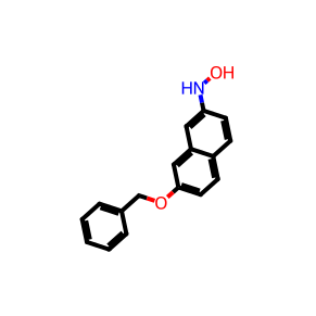 ONc1ccc2ccc(OCc3ccccc3)cc2c1